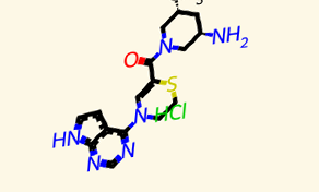 C[C@@H]1C[C@@H](N)CN(C(=O)C2=CN(c3ncnc4[nH]ccc34)CCS2)C1.Cl